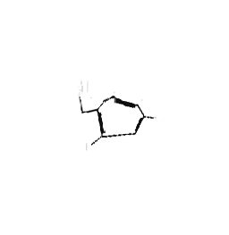 BCc1ccc(F)cc1F